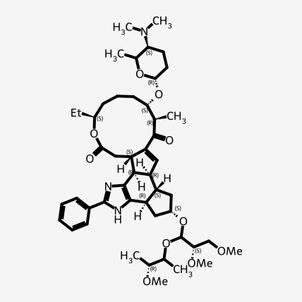 CC[C@H]1CCC[C@H](O[C@H]2CC[C@H](N(C)C)C(C)O2)[C@@H](C)C(=O)C2=C[C@H]3[C@@H]4C[C@H](OC(OC(C)[C@@H](C)OC)[C@H](COC)OC)C[C@H]4c4[nH]c(-c5ccccc5)nc4[C@H]3[C@@H]2CC(=O)O1